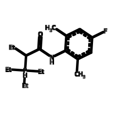 CCC(C(=O)Nc1c(C)cc(F)cc1C)[PH](CC)(CC)CC